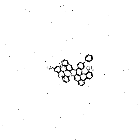 Cc1cc(C)c(B2c3ccccc3N3c4cc5ccccc5c5c4N(c4ccc(-c6ccccc6)cc4B5c4c(C)cccc4C)c4cc5ccccc5c2c43)c(C)c1